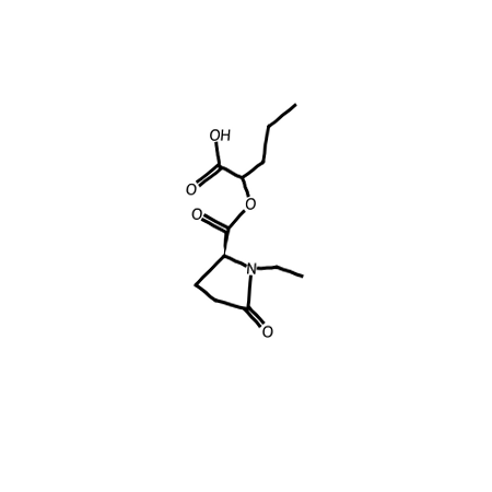 CCCC(OC(=O)[C@@H]1CCC(=O)N1CC)C(=O)O